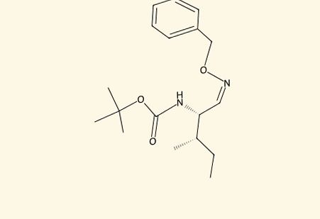 CC[C@H](C)[C@@H](/C=N\OCc1ccccc1)NC(=O)OC(C)(C)C